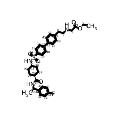 CCOC(=O)CNCCc1ccc(-c2ccc(S(=O)(=O)N[C@H]3CC[C@H](C(=O)N[C@H](C)c4ccc(F)cc4)CC3)cc2)cc1